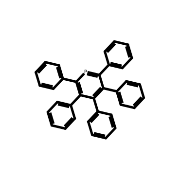 c1ccc(-c2pc(-c3ccccc3)c(-c3ccccc3)c(-c3ccccc3)c2-c2ccccc2)cc1